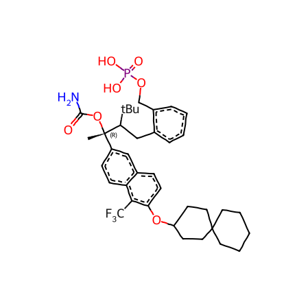 CC(C)(C)C(Cc1ccccc1COP(=O)(O)O)[C@@](C)(OC(N)=O)c1ccc2c(C(F)(F)F)c(OC3CCC4(CCCCC4)CC3)ccc2c1